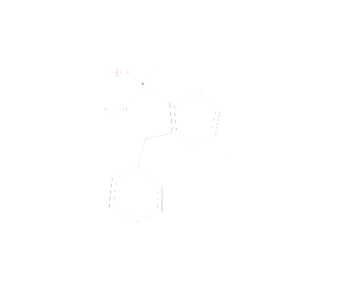 CC(O)(C(=O)[O-])c1ccccc1Cc1ccccc1.[K+]